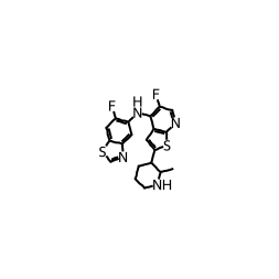 CC1NCCCC1c1cc2c(Nc3cc4ncsc4cc3F)c(F)cnc2s1